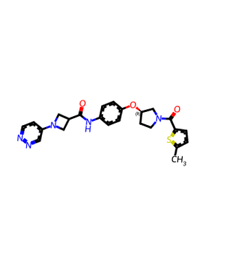 Cc1ccc(C(=O)N2CC[C@@H](Oc3ccc(NC(=O)C4CN(c5ccnnc5)C4)cc3)C2)s1